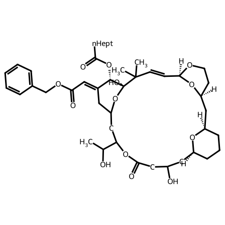 CCCCCCCC(=O)O[C@H]1/C(=C/C(=O)OCc2ccccc2)CC2CC(C(C)O)OC(=O)CC(O)C[C@@H]3CCC[C@H](C[C@@H]4CCO[C@H](/C=C/C(C)(C)[C@]1(O)O2)O4)O3